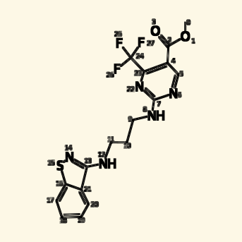 COC(=O)c1cnc(NCCCNc2nsc3ccccc23)nc1C(F)(F)F